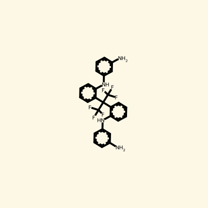 Nc1cccc(Nc2ccccc2C(c2ccccc2Nc2cccc(N)c2)(C(F)(F)F)C(F)(F)F)c1